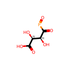 O=PC(=O)[C@@H](O)[C@H](O)C(=O)O